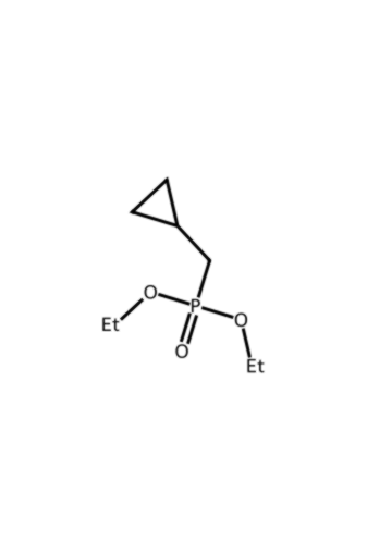 CCOP(=O)(CC1CC1)OCC